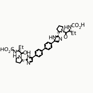 CC[C@H](NC(=O)O)C(=O)N1CCC[C@H]1c1ncc(-c2ccc(-c3ccc(-c4cnc([C@@H]5CCCN5C(=O)[C@H](CC)NC(=O)O)[nH]4)cc3)cc2)[nH]1